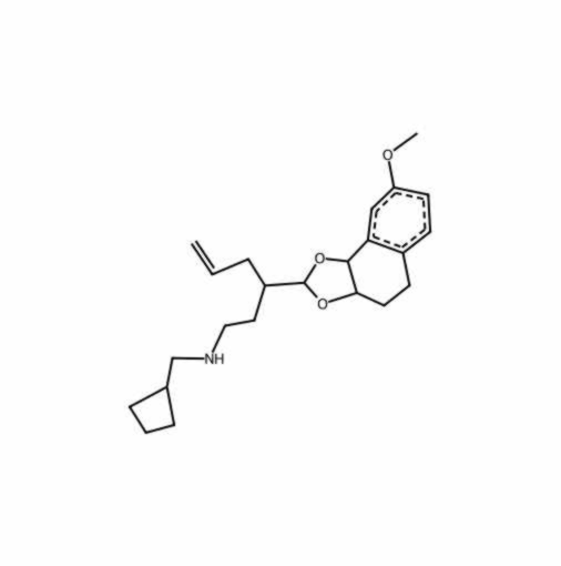 C=CCC(CCNCC1CCC1)C1OC2CCc3ccc(OC)cc3C2O1